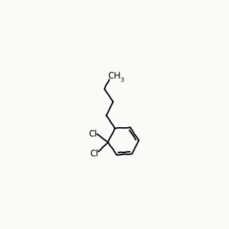 CCCCC1C=CC=CC1(Cl)Cl